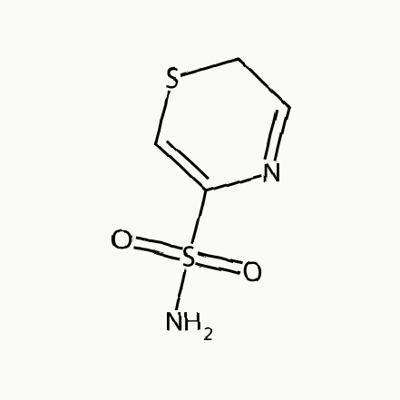 NS(=O)(=O)C1=CSCC=N1